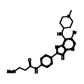 CNCCC(=O)Nc1ccc(-c2nc3c(NC4CCN(C)CC4)c(Br)cnc3[nH]2)cc1